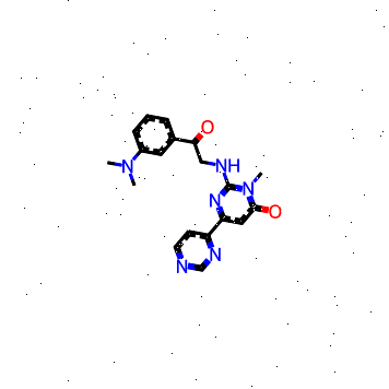 CN(C)c1cccc(C(=O)CNc2nc(-c3ccncn3)cc(=O)n2C)c1